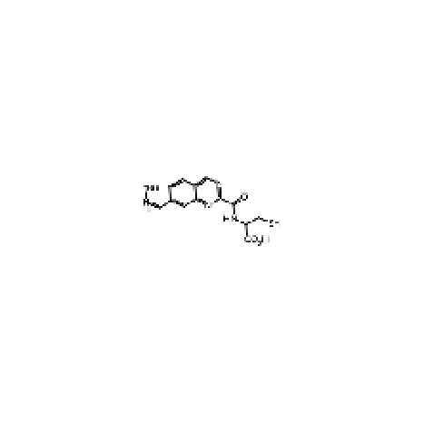 CC(C)(C)/N=C\c1ccc2cnc(C(=O)NC(CS)C(=O)O)nc2c1